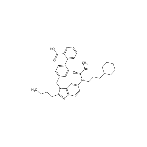 CCCCc1nc2ccc(N(CCCC3CCCCC3)C(=O)NC)cc2n1Cc1ccc(-c2ccccc2C(=O)O)cc1